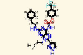 CCCn1c(-c2cc[nH]n2)nc2c(NC(=O)Oc3ccc(C(F)(F)F)cc3)nc(NCCc3ccccc3)nc21